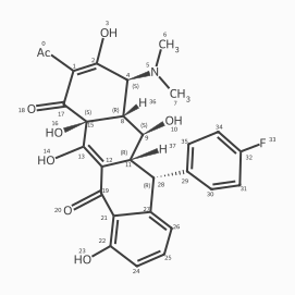 CC(=O)C1=C(O)[C@@H](N(C)C)[C@@H]2[C@@H](O)[C@H]3C(=C(O)[C@]2(O)C1=O)C(=O)c1c(O)cccc1[C@H]3c1ccc(F)cc1